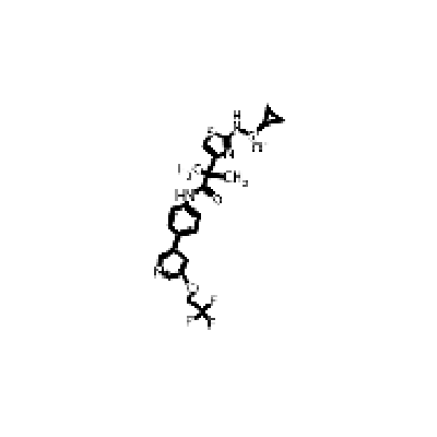 CC(C)(C(=O)Nc1ccc(-c2cncc(OCC(F)(F)F)c2)cc1)c1csc(N[S+]([O-])C2CC2)n1